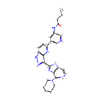 CCCC(=O)Nc1cncc(-c2ccc3[nH]nc(-c4nc5c(N6CCCCC6)nccc5[nH]4)c3n2)c1